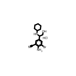 Cl.N#Cc1cc(C(CO)NC2CCCCC2)cc(Br)c1N